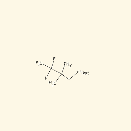 [CH2]C(C)(CCCCCCCC)C(F)(F)C(F)(F)F